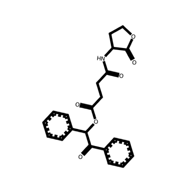 O=C(CCC(=O)OC(C(=O)c1ccccc1)c1ccccc1)NC1CCOC1=O